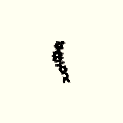 CCC(C)CN1CCC(C(=O)Nc2cc3cc(-c4cnn(C)c4)ccc3cn2)CC1